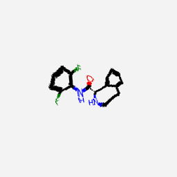 O=C(Nc1c(F)cccc1F)[C@H]1NCCc2ccccc21